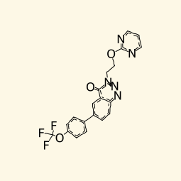 O=c1c2cc(-c3ccc(OC(F)(F)F)cc3)ccc2nnn1CCOc1ncccn1